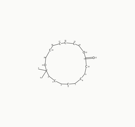 CC1(C)CCCCCCCCC(=O)OCCCCCCCO1